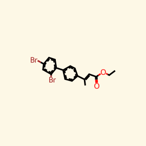 CCOC(=O)C=C(C)c1ccc(-c2ccc(Br)cc2Br)cc1